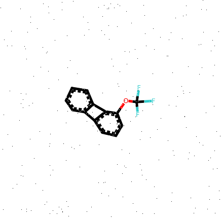 FC(F)(F)Oc1[c]ccc2c1-c1ccccc1-2